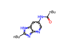 CCCCC(=O)Nc1cnc2nc(CCCC)[nH]c2c1